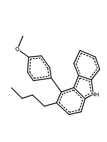 CCCCc1ccc2[nH]c3ccccc3c2c1-c1ccc(OC)cc1